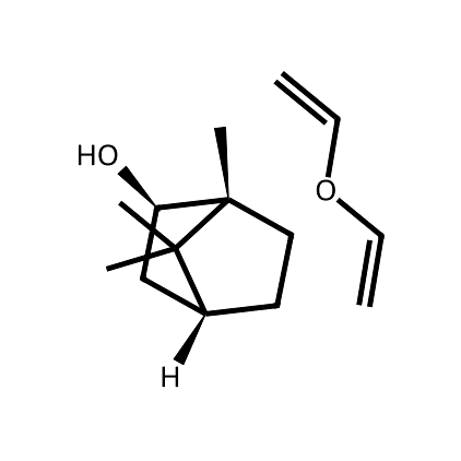 C=COC=C.CC1(C)[C@@H]2CC[C@@]1(C)[C@H](O)C2